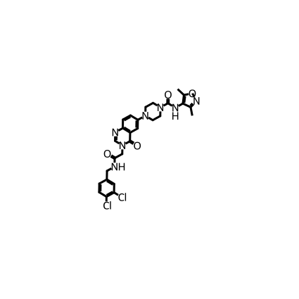 Cc1noc(C)c1NC(=O)N1CCN(c2ccc3ncn(CC(=O)NCc4ccc(Cl)c(Cl)c4)c(=O)c3c2)CC1